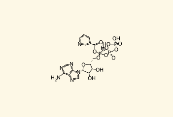 Nc1ncnc2c1ncn2[C@@H]1O[C@H](COP(=O)(OC(=O)c2cccnc2)OP(=O)(O)OP(=O)(O)O)C(O)C1O